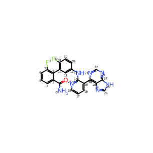 NC(=O)c1cccc(F)c1-c1cc(Nc2ncccc2-c2ncnc3[nH]cnc23)ccc1F